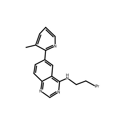 Cc1cccnc1-c1ccc2ncnc(NCCC(C)C)c2c1